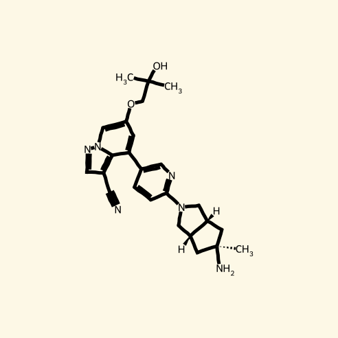 CC(C)(O)COc1cc(-c2ccc(N3C[C@@H]4C[C@@](C)(N)C[C@@H]4C3)nc2)c2c(C#N)cnn2c1